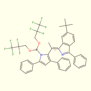 C/C(=C1/N=C(c2ccccc2)c2ccc(C(C)(C)C)cc21)c1c(-c2ccccc2)cc(-c2ccccc2)n1B(OCC(F)(F)C(F)(F)F)OCC(F)(F)C(F)(F)F